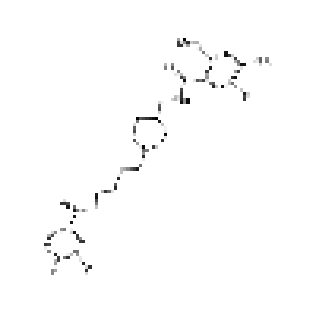 COc1cc(N)c(Cl)cc1C(=O)NCC1CCN(CCCCCC(=O)c2ccc(F)c(F)c2)CC1